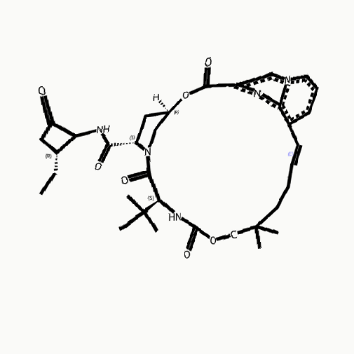 CC[C@@H]1CC(=O)C1NC(=O)[C@@H]1C[C@@H]2CN1C(=O)[C@H](C(C)(C)C)NC(=O)OCC(C)(C)CC/C=C/c1cccn3cc(nc13)C(=O)O2